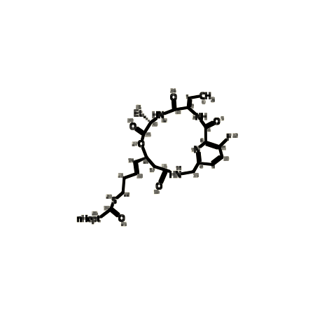 C/C=C1\NC(=O)c2nc(ccc2F)CNC(=O)C[C@@H](/C=C/CCSC(=O)CCCCCCC)OC(=O)[C@H](CC)NC1=O